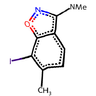 CNc1noc2c(I)c(C)ccc12